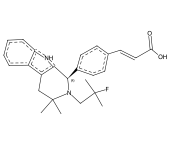 CC(C)(F)CN1[C@H](c2ccc(C=CC(=O)O)cc2)c2[nH]c3ccccc3c2CC1(C)C